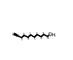 [C]#CCCCCCCCCCO